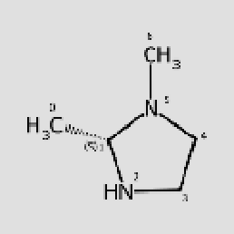 C[C@H]1NCCN1C